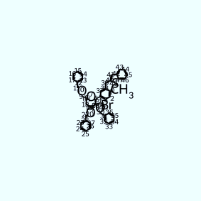 Cc1cc(Br)c([C@@H]2O[C@H](COCc3ccccc3)C[C@H](OCc3ccccc3)[C@H]2OCc2ccccc2)cc1Cc1cc2ccccc2s1